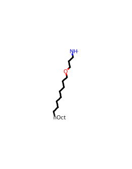 CCCCCCCCCCCCCCCCOCCC[NH]